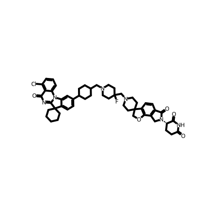 O=C1CC[C@H](N2Cc3c(ccc4c3OCC43CCN(CC4(F)CCN(CC5CCC(c6ccc7c(c6)-n6c(nc(=O)c8c(Cl)cccc86)C76CCCCC6)CC5)CC4)CC3)C2=O)C(=O)N1